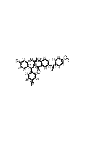 COc1ccc(N(C)c2ccc3nc(C)n(C(c4ccc(F)cc4)c4ccc(F)cc4)c(=O)c3c2)cc1